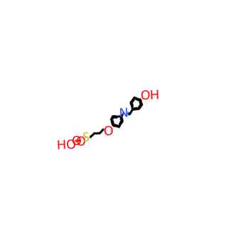 OOOSCCCCOc1ccc(/N=C/c2ccc(O)cc2)cc1